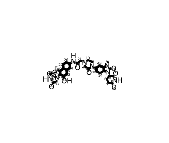 Cn1c(=O)n(C2CCC(=O)NC2=O)c2ccc(N3CCN(CC(=O)Nc4ccc5c(F)c(N6CC(=O)NS6(=O)=O)c(O)cc5c4)CC3=O)cc21